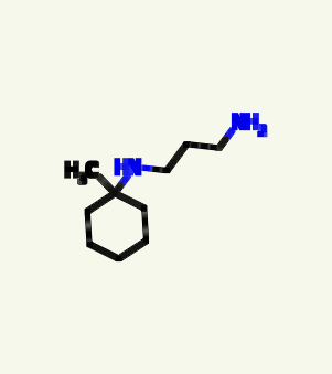 CC1(NCCCN)CCCCC1